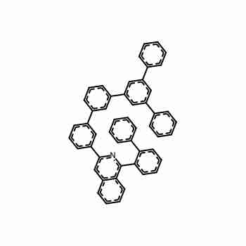 c1ccc(-c2cc(-c3ccccc3)cc(-c3cccc(-c4cccc(-c5cc6ccccc6c(-c6ccccc6-c6ccccc6)n5)c4)c3)c2)cc1